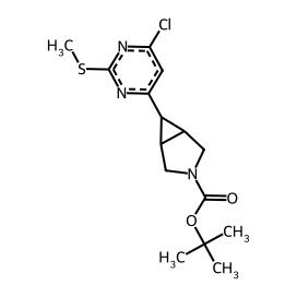 CSc1nc(Cl)cc(C2C3CN(C(=O)OC(C)(C)C)CC32)n1